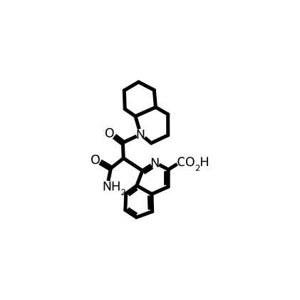 NC(=O)C(C(=O)N1CCCC2CCCCC21)c1nc(C(=O)O)cc2ccccc12